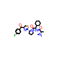 CC(C(=O)NC(C(=O)N1CCC[C@@H]1C1=NC(C(=O)c2ccc(F)cc2)CS1)C1CCCCC1)N(C)C